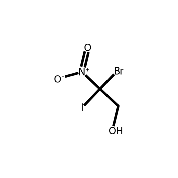 O=[N+]([O-])C(Br)(I)CO